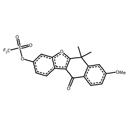 COc1ccc2c(c1)C(C)(C)c1oc3cc(OS(=O)(=O)C(F)(F)F)ccc3c1C2=O